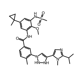 COc1c(NC(=O)c2ccc(C)c(N3C=C(c4cnc(C(C)C)n4C)NN3)c2)cc(C2(C)CC2)cc1NS(C)(=O)=O